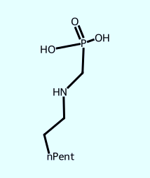 CCCCCCCNCP(=O)(O)O